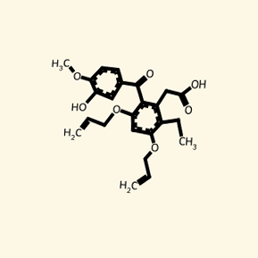 C=CCOc1cc(OCC=C)c(C(=O)c2ccc(OC)c(O)c2)c(CC(=O)O)c1CC